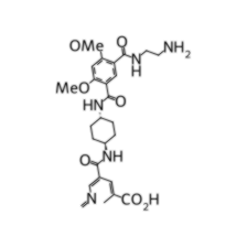 C=N/C=C(\C=C(/C)C(=O)O)C(=O)N[C@H]1CC[C@H](NC(=O)c2cc(C(=O)NCCN)c(OC)cc2OC)CC1